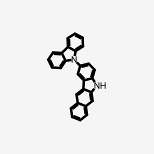 c1ccc2cc3c(cc2c1)[nH]c1ccc(-n2c4ccccc4c4ccccc42)cc13